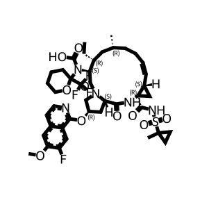 CC[C@@H]1C[C@H](C)CCC=C[C@@H]2C[C@@]2(C(=O)NS(=O)(=O)C2(C)CC2)NC(=O)[C@@H]2C[C@@H](Oc3nccc4cc(OC)c(F)cc34)CN2C(=O)[C@H]1N(C(=O)O)C1(C(F)(F)F)CCCCO1